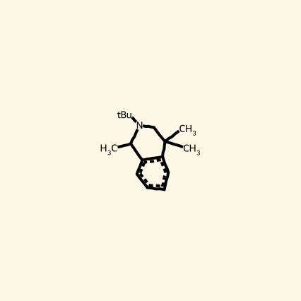 CC1c2ccccc2C(C)(C)CN1C(C)(C)C